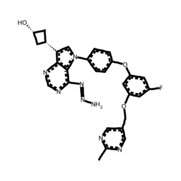 Cc1ncc(COc2cc(F)cc(Oc3ccc(-n4cc([C@H]5C[C@@H](O)C5)c5ncnc(N=NN)c54)cc3)c2)cn1